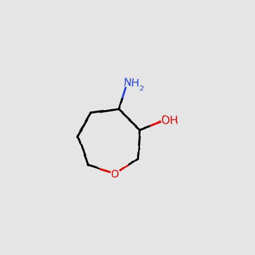 NC1CCCOCC1O